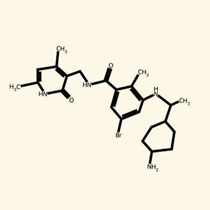 Cc1cc(C)c(CNC(=O)c2cc(Br)cc(NC(C)C3CCC(N)CC3)c2C)c(=O)[nH]1